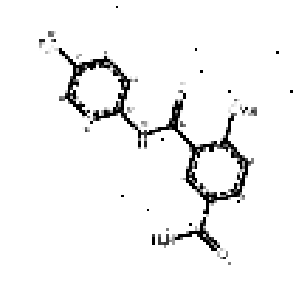 COc1ccc(C(N)=O)cc1C(=O)Nc1ccc(C(F)(F)F)cn1